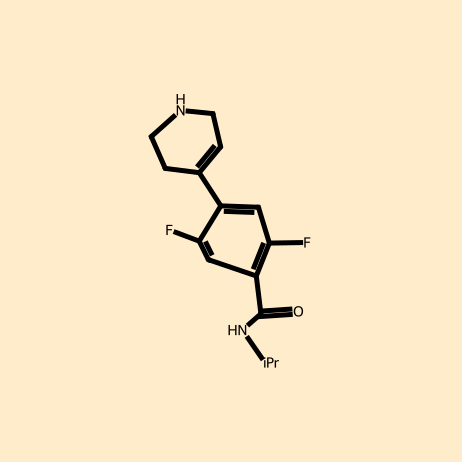 CC(C)NC(=O)c1cc(F)c(C2=CCNCC2)cc1F